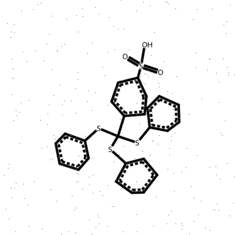 O=S(=O)(O)c1ccc(C(Sc2ccccc2)(Sc2ccccc2)Sc2ccccc2)cc1